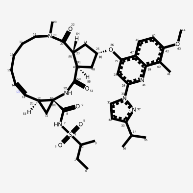 CCC(C)S(=O)(=O)NC(=O)[C@@]12C[C@H]1/C=C\CCCCN(C)C(=O)[C@@H]1C[C@H](Oc3cc(-n4ccc(C(C)C)n4)nc4c(C)c(OC)ccc34)C[C@H]1C(=O)N2